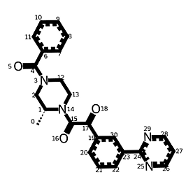 C[C@@H]1CN(C(=O)c2ccccc2)CCN1C(=O)C(=O)c1cccc(-c2ncccn2)c1